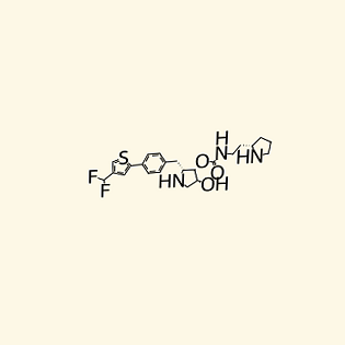 O=C(NCC[C@@H]1CCCN1)O[C@@H]1[C@@H](O)CN[C@@H]1Cc1ccc(-c2cc(C(F)F)cs2)cc1